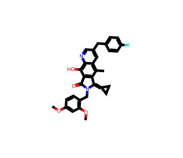 COc1ccc(CN2C(=O)c3c(c(C)c4cc(Cc5ccc(F)cc5)cnc4c3O)C2=C2CC2)c(OC)c1